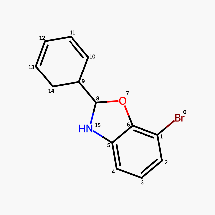 Brc1cccc2c1OC(C1C=CC=CC1)N2